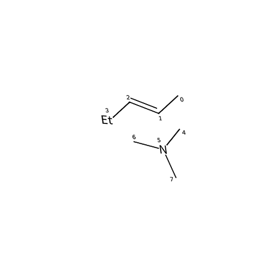 CC=CCC.CN(C)C